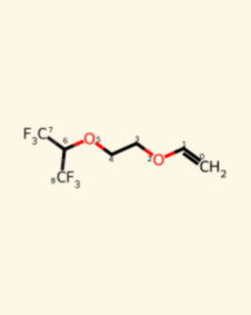 C=COCCOC(C(F)(F)F)C(F)(F)F